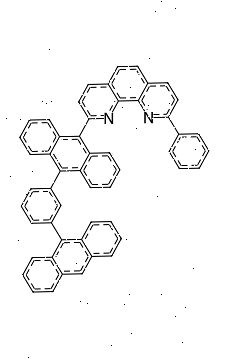 c1ccc(-c2ccc3ccc4ccc(-c5c6ccccc6c(-c6cccc(-c7c8ccccc8cc8ccccc78)c6)c6ccccc56)nc4c3n2)cc1